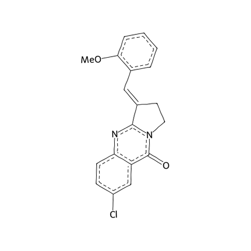 COc1ccccc1C=C1CCn2c1nc1ccc(Cl)cc1c2=O